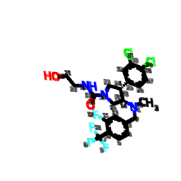 CN(Cc1ccc(C(F)(F)F)c(F)c1)[C@H]1CN(C(=O)NCCO)C[C@@H]1c1ccc(Cl)c(Cl)c1